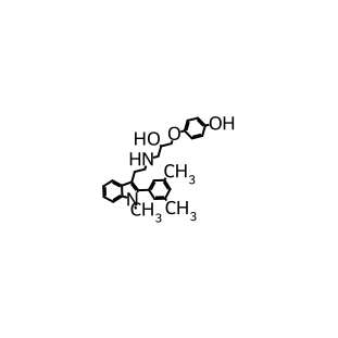 Cc1cc(C)cc(-c2c(CCNCC(O)COc3ccc(O)cc3)c3ccccc3n2C)c1